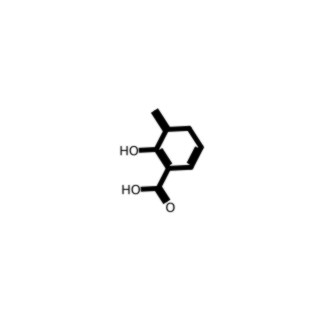 C=C1CC=CC(C(=O)O)=C1O